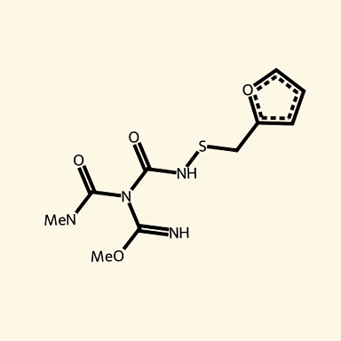 CNC(=O)N(C(=N)OC)C(=O)NSCc1ccco1